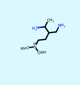 CO[SiH](CCC(CN)C(C)N)OC